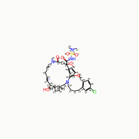 CO[C@]1(C(=O)NS(=O)(=O)N(C)C)CC(=O)N(C)CCC/C=C/[C@H](O)[C@@H]2CC[C@H]2CN2CCCCc3cc(Cl)ccc3COc3ccc1cc32